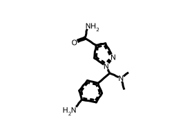 CN(C)C(c1ccc(N)cc1)n1cc(C(N)=O)cn1